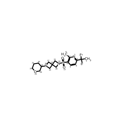 Cc1nc(C(C)(F)F)ccc1S(=O)(=O)N1CC2(CN(C3CCCOC3)C2)C1